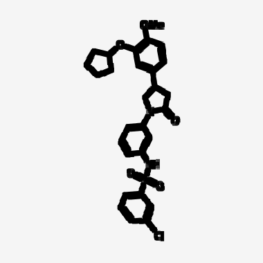 COc1ccc(C2CC(=O)N(c3cccc(NS(=O)(=O)c4cccc(Cl)c4)c3)C2)cc1OC1CCCC1